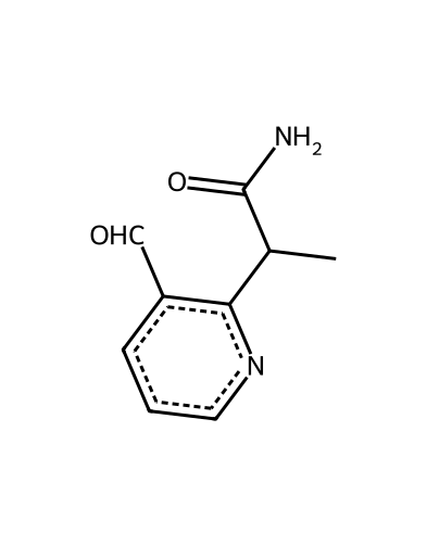 CC(C(N)=O)c1ncccc1C=O